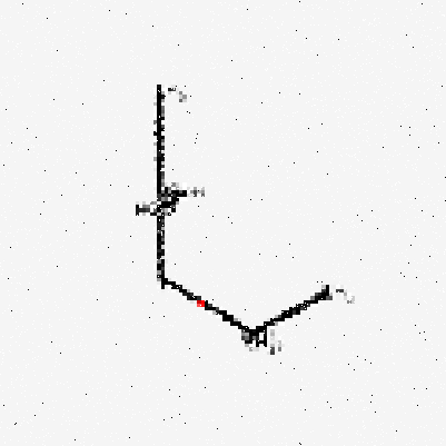 CCCCCCCCCCCCCCCCCCCCCCCC[C@@H](C(=O)OCC(O)CO)[C@H](O)CCCCCCCCCCCCCCC1CC1CCCCCCCCCCCCCCCCCCCC(OC)C(C)CCCCCCCCCCCCCCCCCC